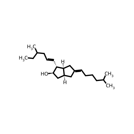 CCC(C)C/C=C/[C@@H]1[C@H]2C/C(=C/CCCC(C)C)C[C@H]2C[C@H]1O